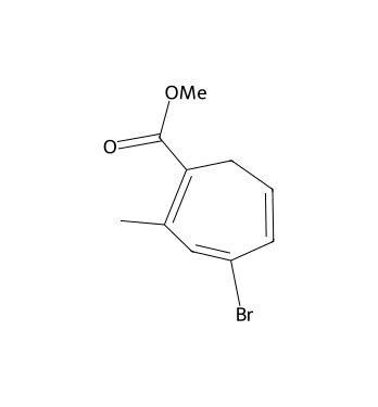 COC(=O)C1=C(C)C=C(Br)C=CC1